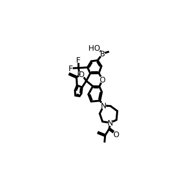 C=C(C)C(=O)N1CCCN(c2ccc3c(c2)Oc2cc(B(C)O)cc(C(F)(F)F)c2C32OC(=C)c3ccccc32)CC1